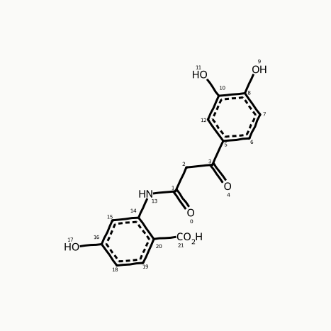 O=C(CC(=O)c1ccc(O)c(O)c1)Nc1cc(O)ccc1C(=O)O